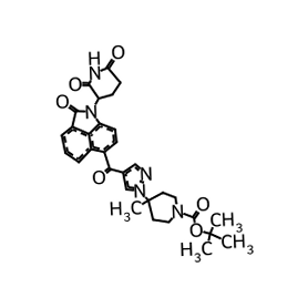 CC(C)(C)OC(=O)N1CCC(C)(n2cc(C(=O)c3ccc4c5c(cccc35)C(=O)N4C3CCC(=O)NC3=O)cn2)CC1